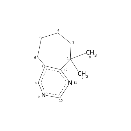 CC1(C)CCCCc2cncnc21